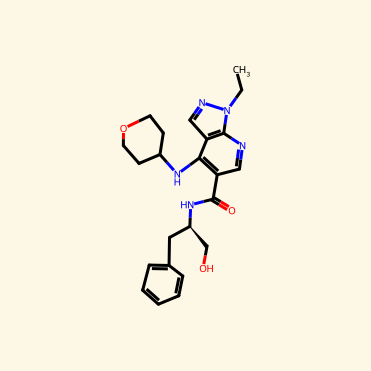 CCn1ncc2c(NC3CCOCC3)c(C(=O)N[C@@H](CO)Cc3ccccc3)cnc21